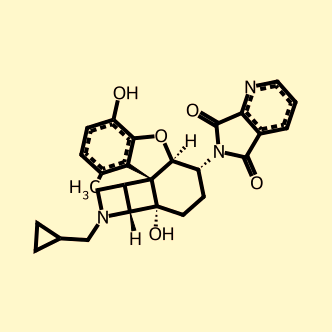 Cc1ccc(O)c2c1[C@]13C4CN(CC5CC5)[C@H]4[C@]1(O)CC[C@@H](N1C(=O)c4cccnc4C1=O)[C@@H]3O2